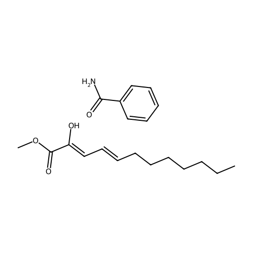 CCCCCCCC=CC=C(O)C(=O)OC.NC(=O)c1ccccc1